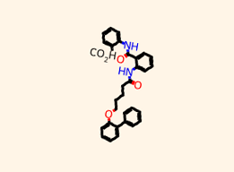 O=C(CCCCOc1ccccc1-c1ccccc1)Nc1ccccc1C(=O)Nc1ccccc1C(=O)O